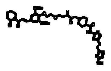 COc1cc(/C=C/C(=O)N2CCC=CC2=O)cc(OC)c1OCCOCCNC(=O)CN1CCC(C(=O)Nc2ncc(SCc3ncc(C(C)(C)C)o3)s2)CC1